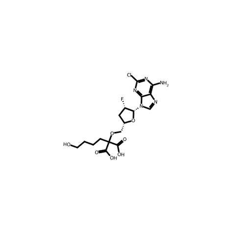 Nc1nc(Cl)nc2c1ncn2[C@@H]1O[C@H](COC(CCCCO)(C(=O)O)C(=O)O)C[C@@H]1F